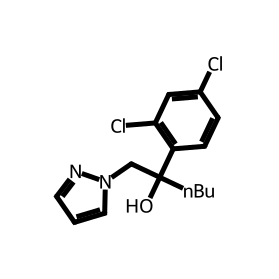 CCCCC(O)(Cn1cccn1)c1ccc(Cl)cc1Cl